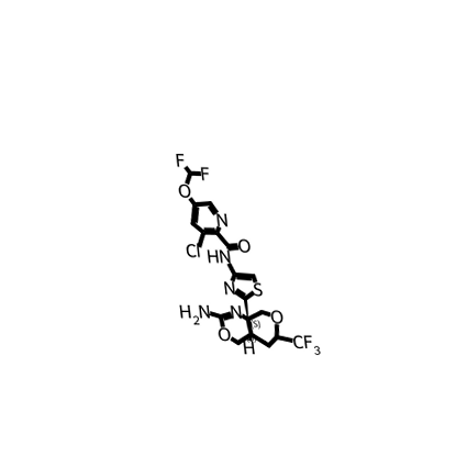 NC1=N[C@]2(c3nc(NC(=O)c4ncc(OC(F)F)cc4Cl)cs3)COC(C(F)(F)F)C[C@@H]2CO1